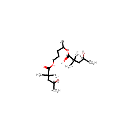 CCC(CCCOC(=O)C(C)(C)CC(Br)C(=O)O)OC(=O)C(C)(C)CC(Br)C(=O)O